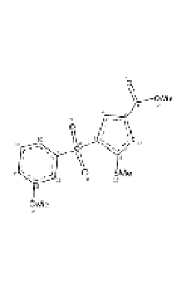 COC(=O)c1cc(S(=O)(=O)c2cccc(OC)c2)c(SC)s1